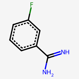 N=C(N)c1cccc(F)c1